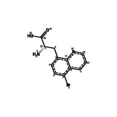 N[C@@H](Cc1ccc(Br)c2cccnc12)C(=O)O